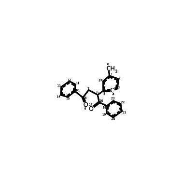 Cc1cccc(C(CC(=O)c2ccccc2)C(=O)c2ccccc2)c1